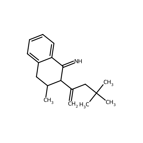 C=C(CC(C)(C)C)C1C(=N)c2ccccc2CC1C